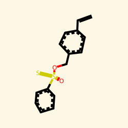 C=Cc1ccc(COS(=O)(=S)c2ccccc2)cc1